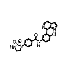 O=C(Nc1ccc(Cl)c(-c2nccc3cc[nH]c23)c1)c1ccc(N2CCNS2(=O)=O)cc1